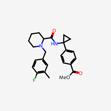 COC(=O)c1ccc(C2(NC(=O)C3CCCCN3Cc3ccc(F)c(C)c3)CC2)cc1